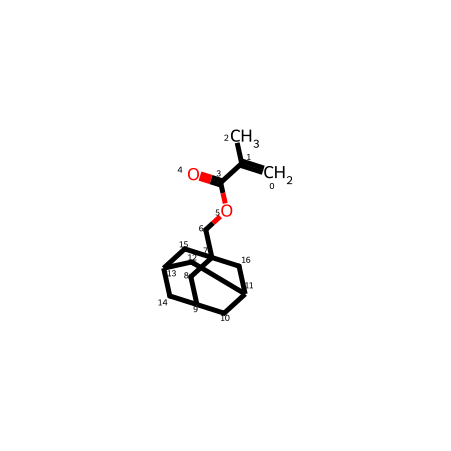 C=C(C)C(=O)OCC12CC3CC(CC(C3)C1)C2